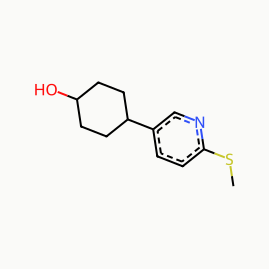 CSc1ccc(C2CCC(O)CC2)cn1